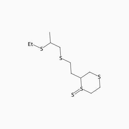 CCSC(C)CSCCC1CSCCS1=S